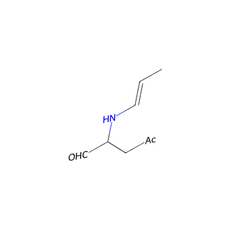 CC=CNC(C=O)CC(C)=O